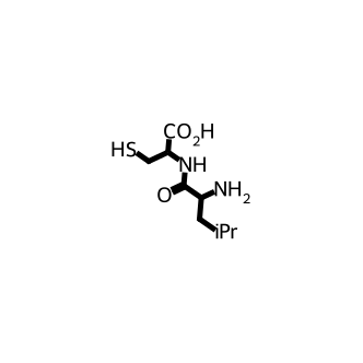 CC(C)CC(N)C(=O)NC(CS)C(=O)O